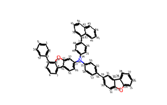 c1ccc(-c2cccc3c2oc2cc(N(c4ccc(-c5ccc6oc7ccccc7c6c5)cc4)c4ccc(-c5cccc6ccccc56)cc4)ccc23)cc1